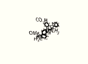 COC(=O)N1c2ccc3c(nc([C@H](C)Oc4ccccn4)n3C3CCC(C(=O)O)CC3)c2CC[C@@H]1C